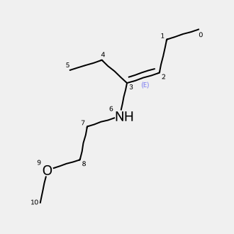 CC/C=C(\CC)NCCOC